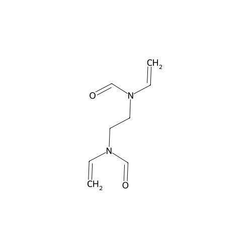 C=CN(C=O)CCN(C=C)C=O